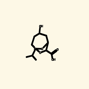 CC(C)[Si]12CCC(O)CC(O1)C(C(=O)O)O2